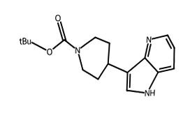 CC(C)(C)OC(=O)N1CCC(c2c[nH]c3cccnc23)CC1